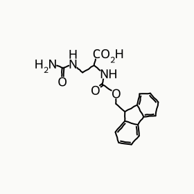 NC(=O)NCC(NC(=O)OCC1c2ccccc2-c2ccccc21)C(=O)O